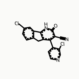 N#Cc1c(-c2ccncc2Cl)c2c([nH]c1=O)-c1cc(Cl)ccc1C2